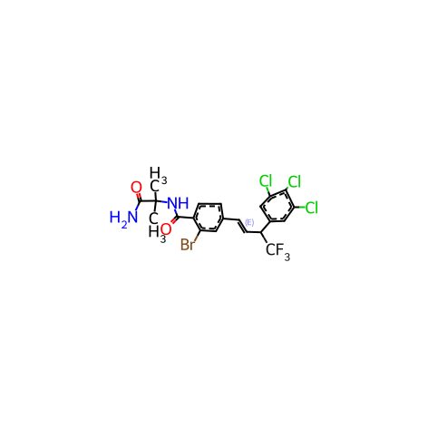 CC(C)(NC(=O)c1ccc(/C=C/C(c2cc(Cl)c(Cl)c(Cl)c2)C(F)(F)F)cc1Br)C(N)=O